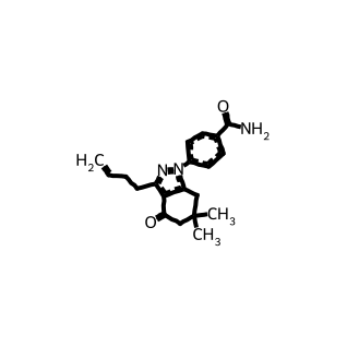 C=CCCc1nn(-c2ccc(C(N)=O)cc2)c2c1C(=O)CC(C)(C)C2